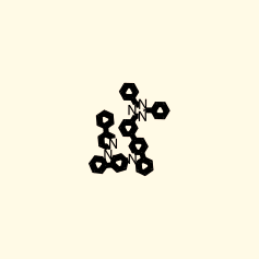 c1ccc(-c2ccc(-n3c4ccccc4c4ccc(-n5c6ccccc6c6ccc(-c7cccc(-c8nc(-c9ccccc9)nc(-c9ccccc9)n8)c7)cc65)cc43)nc2)cc1